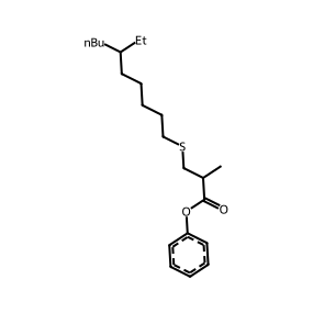 CCCCC(CC)CCCCCSCC(C)C(=O)Oc1ccccc1